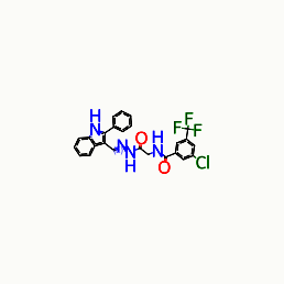 O=C(CNC(=O)c1cc(Cl)cc(C(F)(F)F)c1)N/N=C/c1c(-c2ccccc2)[nH]c2ccccc12